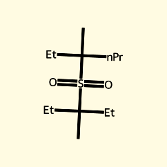 CCCC(C)(CC)S(=O)(=O)C(C)(CC)CC